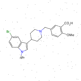 CCCn1cc(C2CCN(Cc3ccc(OC)c(C(=O)O)c3)CC2)c2cc(Br)ccc21